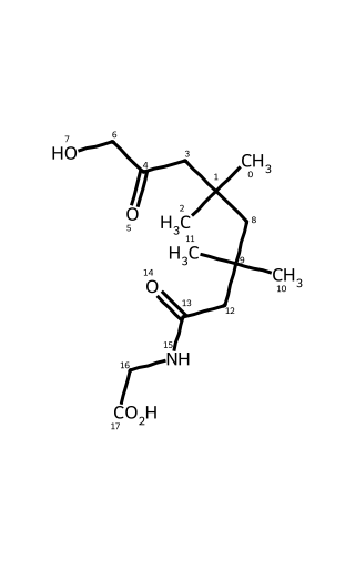 CC(C)(CC(=O)CO)CC(C)(C)CC(=O)NCC(=O)O